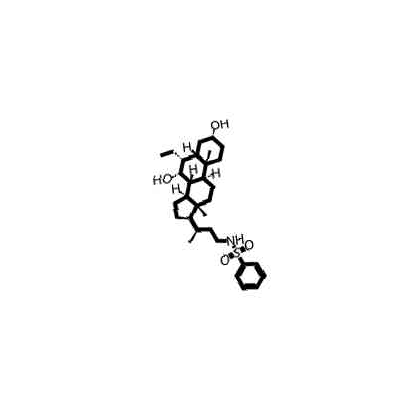 CC[C@H]1[C@@H](O)[C@@H]2[C@H](CC[C@]3(C)[C@@H]([C@H](C)CCNS(=O)(=O)c4ccccc4)CC[C@@H]23)[C@@]2(C)CC[C@@H](O)C[C@@H]12